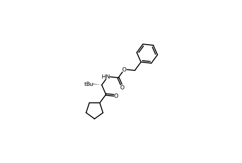 CC(C)(C)[C@H](NC(=O)OCc1ccccc1)C(=O)C1CCCC1